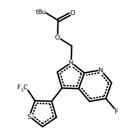 CC(C)(C)C(=O)OCn1cc(-c2ccsc2C(F)(F)F)c2cc(F)cnc21